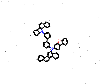 c1cc(-c2cccc(-n3c4ccccc4c4ccc5ccccc5c43)c2)cc(N(c2ccc3c(c2)oc2ccccc23)c2cc3c4ccccc4ccc3c3ccccc23)c1